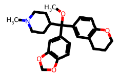 COC(c1ccc2c(c1)CCCO2)(c1ccc2c(c1)OCO2)C1CCN(C)CC1